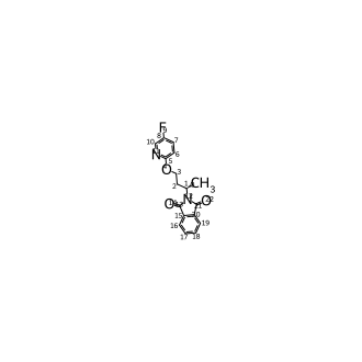 C[C@H](CCOc1ccc(F)cn1)N1C(=O)c2ccccc2C1=O